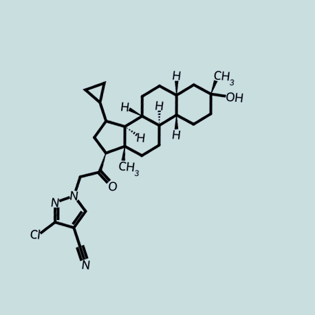 C[C@@]1(O)CC[C@H]2[C@H](CC[C@@H]3[C@@H]2CC[C@]2(C)[C@@H](C(=O)Cn4cc(C#N)c(Cl)n4)CC(C4CC4)[C@@H]32)C1